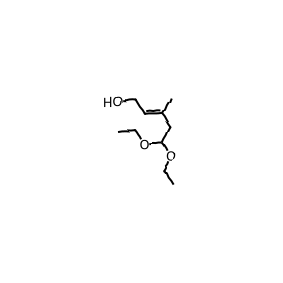 CCOC(CC(C)=CCO)OCC